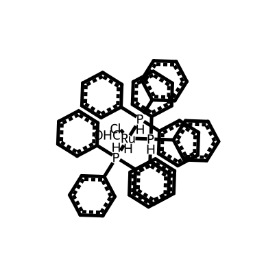 O=[CH][RuH]([Cl])([PH](c1ccccc1)(c1ccccc1)c1ccccc1)([PH](c1ccccc1)(c1ccccc1)c1ccccc1)[PH](c1ccccc1)(c1ccccc1)c1ccccc1